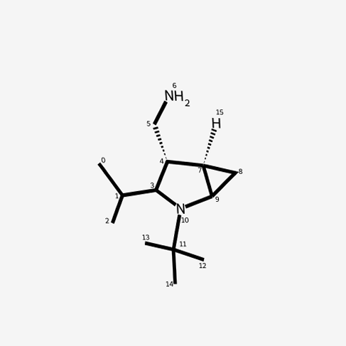 CC(C)C1[C@H](CN)[C@H]2CC2N1C(C)(C)C